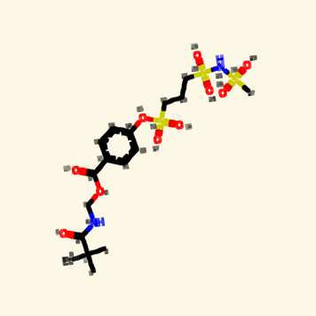 CCC(C)(C)C(=O)NCOC(=O)c1ccc(OS(=O)(=O)CCCS(=O)(=O)NS(C)(=O)=O)cc1